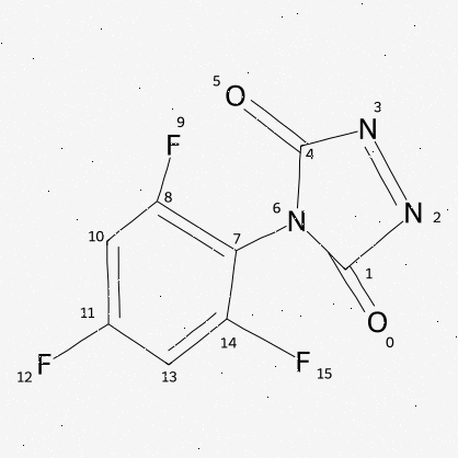 O=C1N=NC(=O)N1c1c(F)cc(F)cc1F